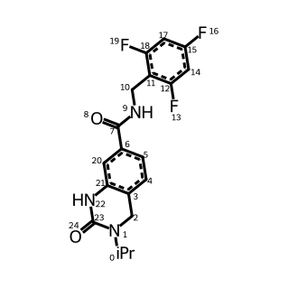 CC(C)N1Cc2ccc(C(=O)NCc3c(F)cc(F)cc3F)cc2NC1=O